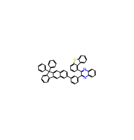 c1ccc(C2(c3ccccc3)c3ccccc3-c3cc4cc(-c5cccc(-c6nc7ccccc7nc6-c6cccc7sc8ccccc8c67)c5)ccc4cc32)cc1